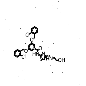 O=C(Nc1nc(CNCCO)cs1)c1cc(OCc2ccccc2Cl)cc(OCc2ccccc2Cl)c1